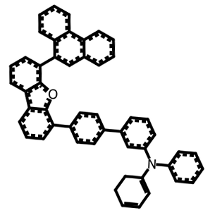 C1=CCCC(N(c2ccccc2)c2cccc(-c3ccc(-c4cccc5c4oc4c(-c6cc7ccccc7c7ccccc67)cccc45)cc3)c2)=C1